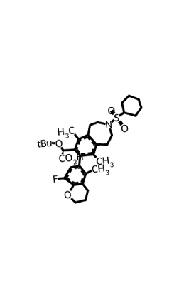 Cc1c(-c2c(C)c3c(c(C)c2[C@H](OC(C)(C)C)C(=O)O)CCN(S(=O)(=O)C2CCCCC2)CC3)cc(F)c2c1CCCO2